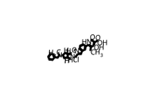 CCc1c(-c2ccc3c(c2)cc(CN2C[C@H]4CC(N(C)Cc5ccccc5)C[C@H]4C2)n3C)[nH]c(=O)c(C(=O)O)c1O.Cl